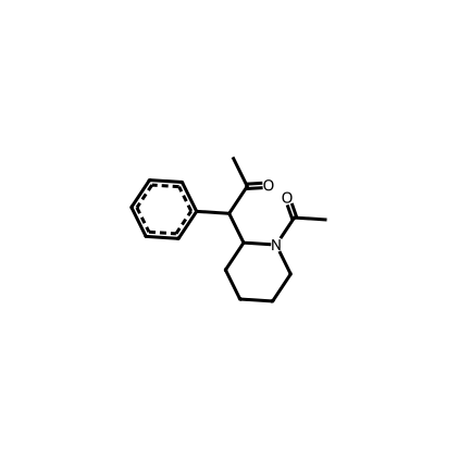 CC(=O)C(c1ccccc1)C1CCCCN1C(C)=O